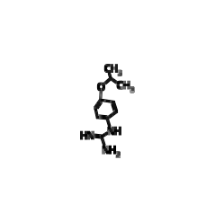 CC(C)Oc1ccc(NC(=N)N)cc1